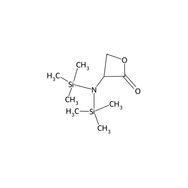 C[Si](C)(C)N(C1COC1=O)[Si](C)(C)C